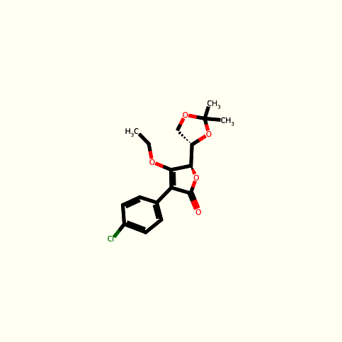 CCOC1=C(c2ccc(Cl)cc2)C(=O)O[C@@H]1[C@@H]1COC(C)(C)O1